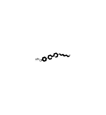 CCCOc1ccc([C@H]2CC[C@H]([C@H]3CC[C@H](CCC=CCCF)CC3)CC2)cc1